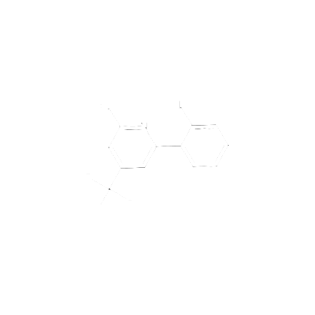 FC(F)(F)c1cc(Cl)nc(-c2ccccc2Cl)c1